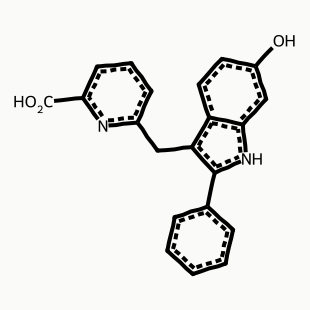 O=C(O)c1cccc(Cc2c(-c3ccccc3)[nH]c3cc(O)ccc23)n1